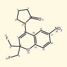 O=C1CCCN1C1=CC(CF)(CF)Oc2ccc([N+](=O)[O-])cc21